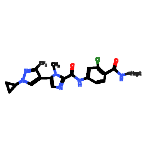 CCCCCCCNC(=O)c1ccc(NC(=O)c2ncc(-c3cn(C4CC4)nc3C(F)(F)F)n2C)cc1Cl